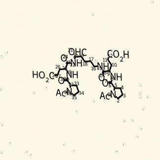 CC(=O)N1CCCC1C(=O)NC(CCC(=O)O)C(=O)NCCCCC(C=O)NC(=O)C(CCC(=O)O)NC(=O)C1CCCN1C(C)=O